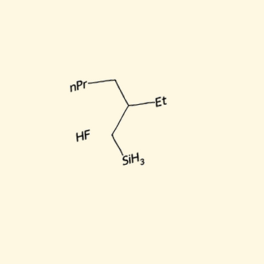 CCCCC(CC)C[SiH3].F